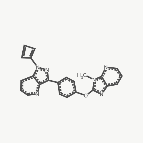 Cn1c(Oc2ccc(-c3nn(C4=CC=C4)c4cccnc34)cc2)nc2cccnc21